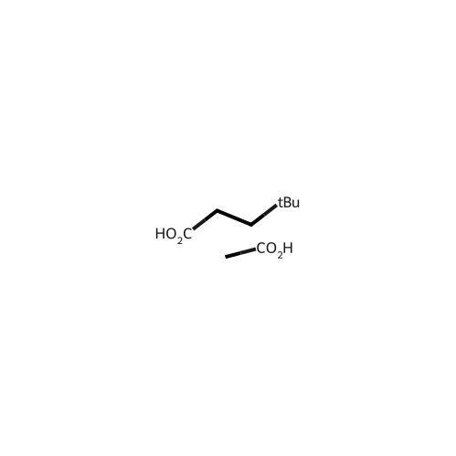 CC(=O)O.CC(C)(C)CCC(=O)O